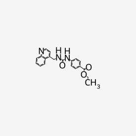 CCOC(=O)c1ccc(NC(=O)NCc2ccnc3ccccc23)cc1